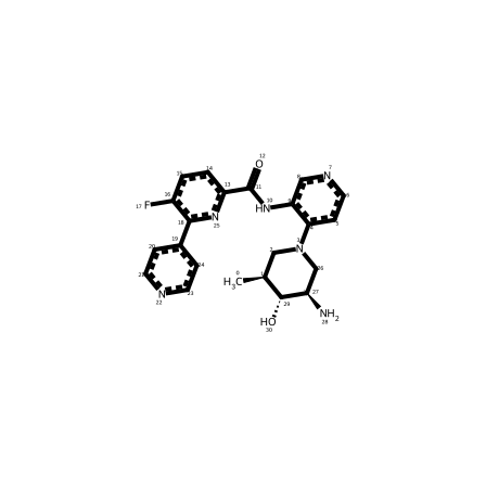 C[C@H]1CN(c2ccncc2NC(=O)c2ccc(F)c(-c3ccncc3)n2)C[C@@H](N)[C@@H]1O